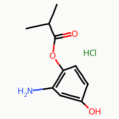 CC(C)C(=O)Oc1ccc(O)cc1N.Cl